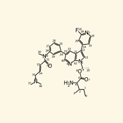 CCC(C)C(N)C(=O)O[C@@H](C)n1cc(-c2ccnc(F)c2)c2cc(-c3cccc(N(C)C(=O)/C=C/CN(C)C)c3)cnc21